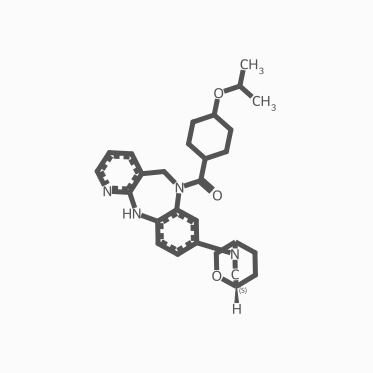 CC(C)OC1CCC(C(=O)N2Cc3cccnc3Nc3ccc(N4C[C@@H]5CCC4CO5)cc32)CC1